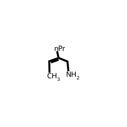 CC=C(CN)CCC